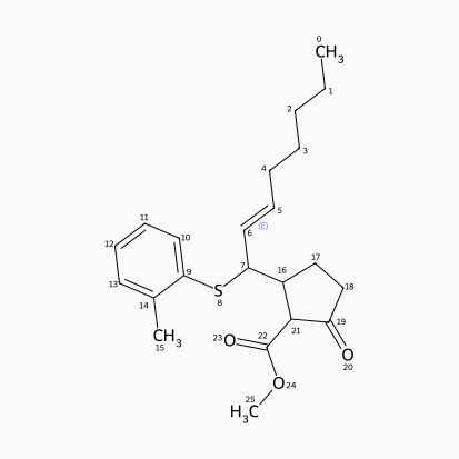 CCCCC/C=C/C(Sc1ccccc1C)C1CCC(=O)C1C(=O)OC